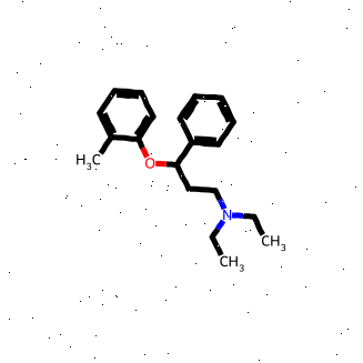 CCN(CC)CCC(Oc1ccccc1C)c1ccccc1